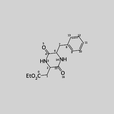 CCOC(=O)CC1NC(=O)C(Cc2ccccc2)NC1=O